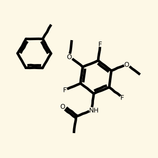 COc1c(F)c(NC(C)=O)c(F)c(OC)c1F.Cc1ccccc1